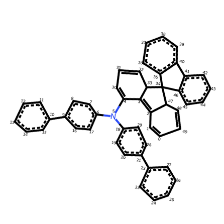 C1=CC2=C3C(N(c4ccc(-c5ccccc5)cc4)c4ccc(-c5ccccc5)cc4)=CC=CC3C3(c4ccccc4-c4ccccc43)C2C=C1